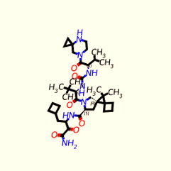 CC(C)[C@H](NC(=O)N[C@H](C(=O)N1C[C@]2(C[C@H]1C(=O)NC(CC1CCC1)C(=O)C(N)=O)C(C)(C)C21CCC1)C(C)(C)C)C(=O)N1CCNC2(CC2)C1